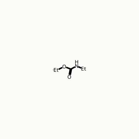 C[CH]OC(=O)NCC